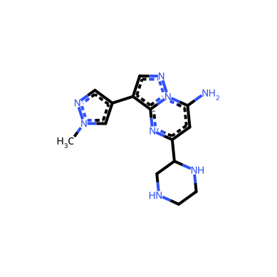 Cn1cc(-c2cnn3c(N)cc(C4CNCCN4)nc23)cn1